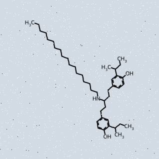 CCCCCCCCCCCCCCCCCCNC(CCc1ccc(O)c(C(C)CC)c1)CCc1ccc(O)c(C(C)CC)c1